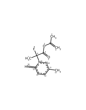 C=C(C)OC(=O)C(C)(F)n1nc(C)ccc1=N